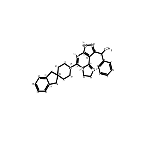 CC(c1ccccc1)c1n[nH]c2c1C1=NCCN1C(N1CCC3(CC1)Cc1ccccc1C3)=N2